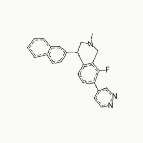 CN1Cc2c(ccc(-c3ccnnc3)c2F)C(c2ccc3ccccc3c2)C1